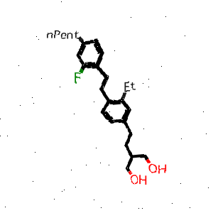 CCCCCc1ccc(CCc2ccc(CCC(CO)CO)cc2CC)c(F)c1